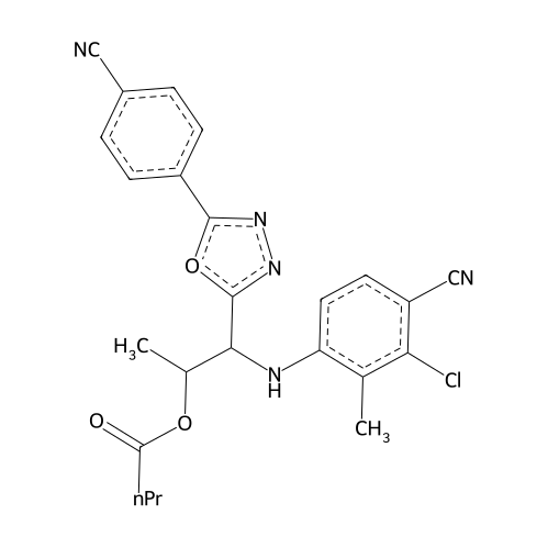 CCCC(=O)OC(C)C(Nc1ccc(C#N)c(Cl)c1C)c1nnc(-c2ccc(C#N)cc2)o1